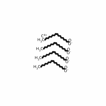 CCCCCCCC/C=C\CCCCCCCC(=O)[O-].CCCCCCCC/C=C\CCCCCCCC(=O)[O-].CCCCCCCC/C=C\CCCCCCCC(=O)[O-].CCCCCCCC/C=C\CCCCCCCC(=O)[O-].[C+4]